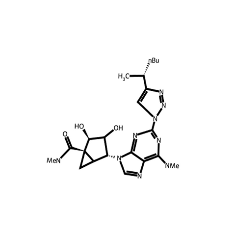 CCCC[C@@H](C)c1cn(-c2nc(NC)c3ncn([C@H]4C(O)[C@H](O)[C@@]5(C(=O)NC)CC45)c3n2)nn1